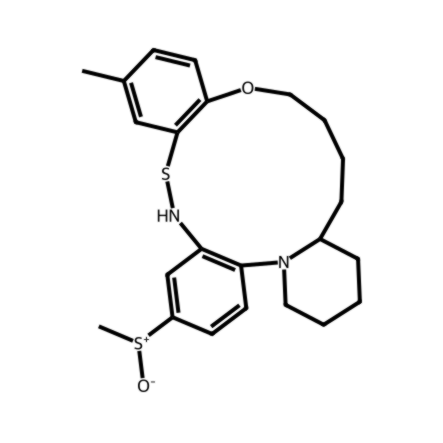 Cc1ccc2c(c1)SNc1cc([S+](C)[O-])ccc1N1CCCCC1CCCCO2